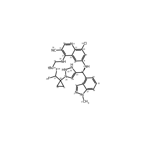 Cn1ncc2c([C@H](Nc3cc(Cl)c4ncc(C#N)c(NCC(C)(C)C)c4c3)C3=CN(C4(C(F)F)CC4)NN3)cccc21